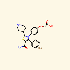 Br.NC(=O)C1=C(c2ccccc2)N(c2ccc(OCC(=O)O)cc2)C(C2CCNCC2)S1